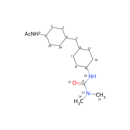 CC(=O)NC1CCC(CC2CCC(NC(=O)N(C)C)CC2)CC1